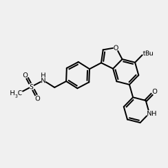 CC(C)(C)c1cc(-c2ccc[nH]c2=O)cc2c(-c3ccc(CNS(C)(=O)=O)cc3)coc12